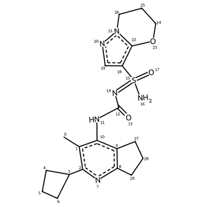 Cc1c(C2CCC2)nc2c(c1NC(=O)N=S(N)(=O)c1cnn3c1OCCC3)CCC2